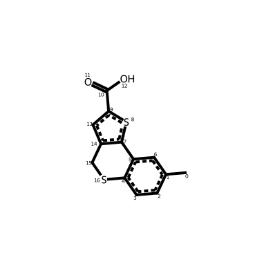 Cc1ccc2c(c1)-c1sc(C(=O)O)cc1CS2